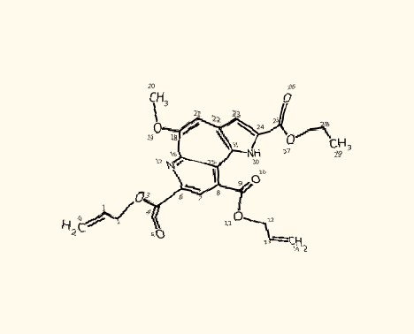 C=CCOC(=O)c1cc(C(=O)OCC=C)c2c(n1)c(OC)cc1cc(C(=O)OCC)[nH]c12